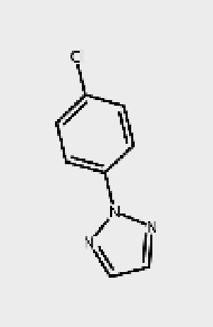 Clc1ccc(-n2nccn2)cc1